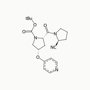 CC(C)(C)OC(=O)N1C[C@@H](Oc2ccncc2)C[C@H]1C(=O)N1CCC[C@H]1C#N